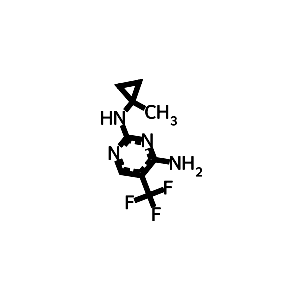 CC1(Nc2ncc(C(F)(F)F)c(N)n2)CC1